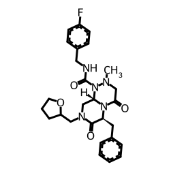 CN1CC(=O)N2[C@@H](Cc3ccccc3)C(=O)N(CC3CCCO3)C[C@@H]2N1C(=O)NCc1ccc(F)cc1